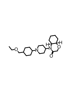 CCOCC1CCC(N2CCC(N3C(=O)CO[C@H]4CCCC[C@H]43)CC2)CC1